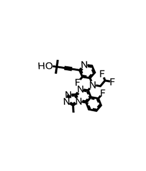 Cc1nnc2nc(N(CC(F)F)c3ccnc(C#CC(C)(C)O)c3F)c3c(F)cccc3n12